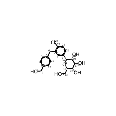 OCc1ccc(Cc2cc([C@@H]3O[C@H](CO)[C@@H](O)[C@H](O)[C@H]3O)ccc2Cl)cc1